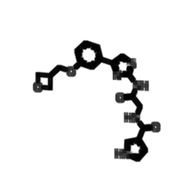 O=C(CNC(=O)c1cc[nH]c1)Nc1nc(-c2cccc(OCC3COC3)c2)cs1